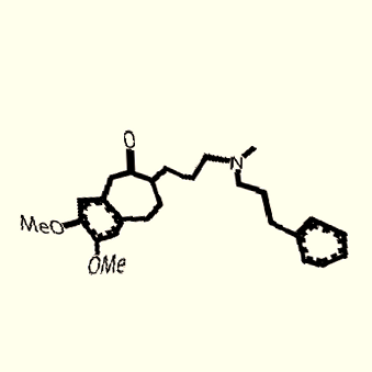 COc1cc2c(cc1OC)CC(=O)C(CCCN(C)CCCc1ccccc1)CC2